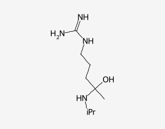 CC(C)NC(C)(O)CCCNC(=N)N